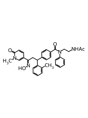 CC(=O)NCCN(C(=O)c1ccc(C(CC(=NO)c2ccc(=O)n(C)c2)c2ccccc2C)cc1)c1ccccc1